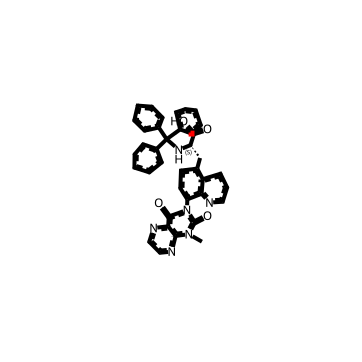 Cn1c(=O)n(-c2ccc(C[C@H](NC(c3ccccc3)(c3ccccc3)c3ccccc3)C(=O)O)c3cccnc23)c(=O)c2nccnc21